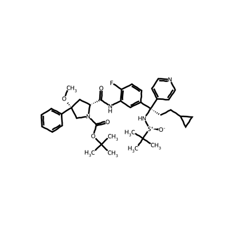 CO[C@]1(c2ccccc2)C[C@H](C(=O)Nc2cc([C@](CCC3CC3)(N[S@@+]([O-])C(C)(C)C)c3ccncc3)ccc2F)N(C(=O)OC(C)(C)C)C1